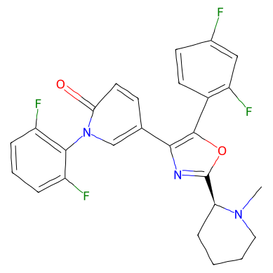 CN1CCCC[C@H]1c1nc(-c2ccc(=O)n(-c3c(F)cccc3F)c2)c(-c2ccc(F)cc2F)o1